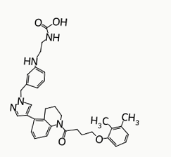 Cc1cccc(OCCCC(=O)N2CCCc3c(-c4cnn(Cc5cccc(NCCNC(=O)O)c5)c4)cccc32)c1C